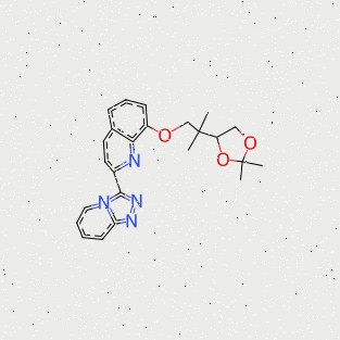 CC1(C)OCC(C(C)(C)COc2cccc3ccc(-c4nnc5ccccn45)nc23)O1